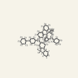 CC1(C)c2ccccc2-c2ccc(N(c3ccc(-c4ccccc4)cc3)c3ccc4c(c3)C3(c5ccccc5-4)c4ccccc4N(c4ccccc4)c4ccccc43)cc21